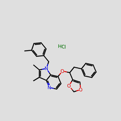 Cc1cccc(Cn2c(C)c(C)c3nccc(OC(Cc4ccccc4)C4=COCO4)c32)c1.Cl